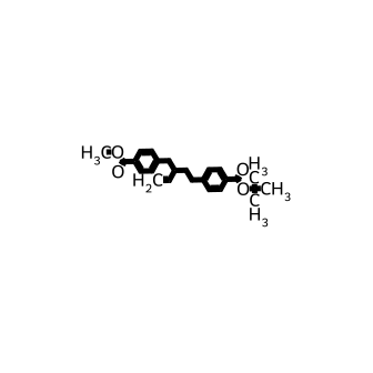 C=CC(CCc1ccc(C(=O)OC(C)(C)C)cc1)Cc1ccc(C(=O)OC)cc1